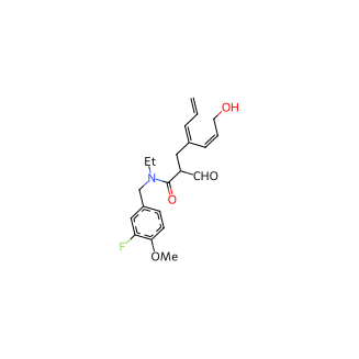 C=C/C=C(\C=C/CO)CC(C=O)C(=O)N(CC)Cc1ccc(OC)c(F)c1